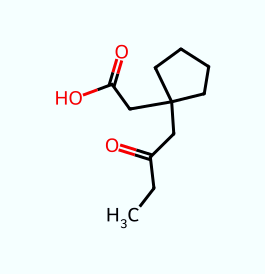 CCC(=O)CC1(CC(=O)O)CCCC1